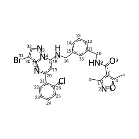 Cc1noc(C)c1C(=O)NCc1cccc(CNc2cc(-c3ccccc3Cl)nc3c(Br)cnn23)c1